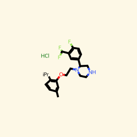 Cc1ccc(C(C)C)c(OCCN2CCNCC2c2ccc(F)c(C(F)F)c2)c1.Cl